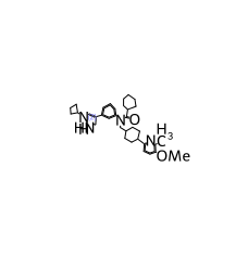 COc1ccc(C2CCC(CN(C(=O)C3CCCCC3)c3cccc(/C(C=N)=C/NC4CCC4)c3)CC2)nc1C